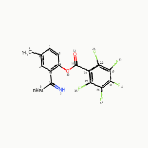 CCCCCCC(=N)c1cc(C)ccc1OC(=O)c1c(F)c(F)c(F)c(F)c1F